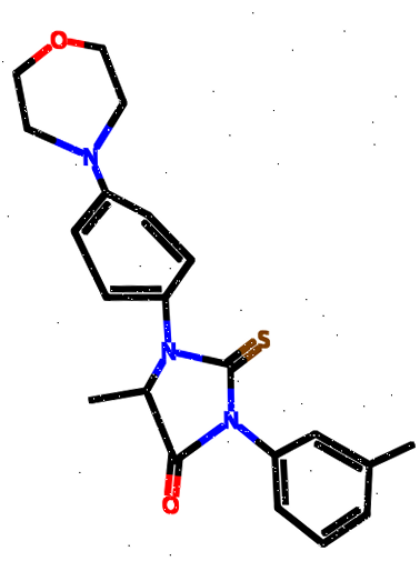 Cc1cccc(N2C(=O)C(C)N(c3ccc(N4CCOCC4)cc3)C2=S)c1